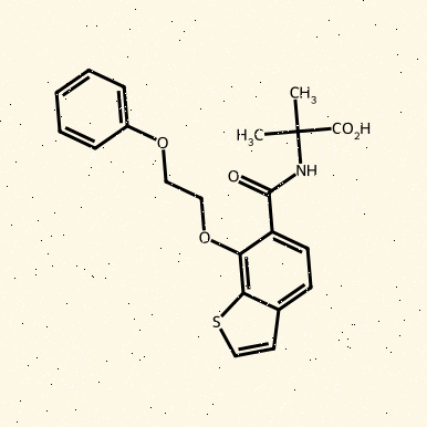 CC(C)(NC(=O)c1ccc2ccsc2c1OCCOc1ccccc1)C(=O)O